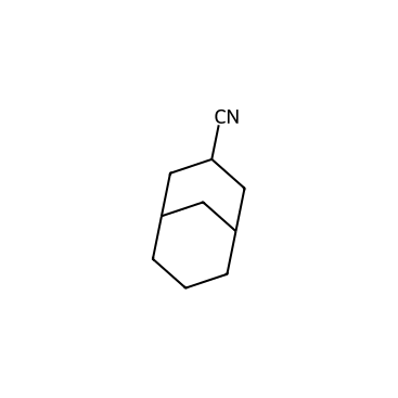 N#CC1CC2CCCC(C1)C2